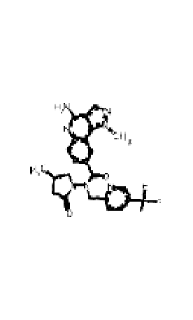 CC1CC(=O)N(N(Cc2ccc(C(F)(F)F)cn2)C(=O)c2ccc3nc(N)c4cnn(C)c4c3c2)C1